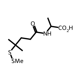 CSSC(C)(C)CCC(=O)NC(C)C(=O)O